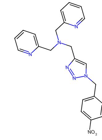 O=[N+]([O-])c1ccc(Cn2cc(CN(Cc3ccccn3)Cc3ccccn3)nn2)cc1